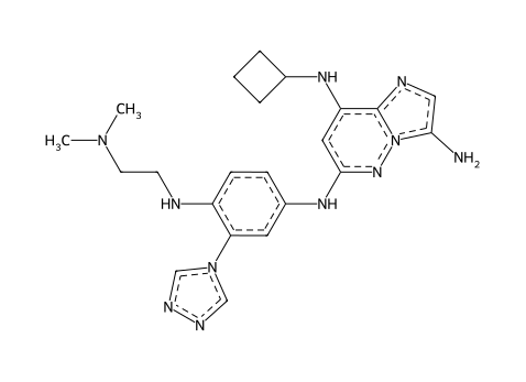 CN(C)CCNc1ccc(Nc2cc(NC3CCC3)c3ncc(N)n3n2)cc1-n1cnnc1